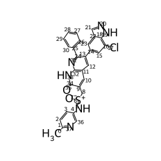 Cc1ccc(N[S+]([O-])Cc2cc3cc(-c4cc(Cl)c5[nH]ncc5c4)c(-c4ccccc4)nc3[nH]c2=O)cn1